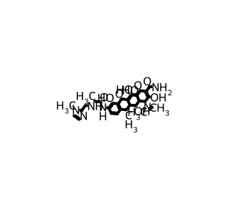 CC(NCc1nccn1C)C(=O)Nc1ccc2c(c1O)C(=O)C1=C(O)[C@]3(O)C(=O)C(C(N)=O)=C(O)[C@@H](N(C)C)C3C(O)C1C2C